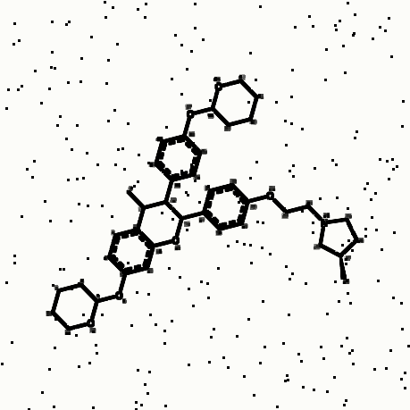 CC1c2ccc(OC3CCCCO3)cc2OC(c2ccc(OCCN3CC[C@@H](C)C3)cc2)C1c1ccc(OC2CCCCO2)cc1